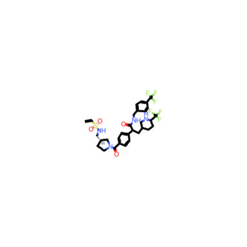 C=CS(=O)(=O)NC[C@H]1CCN(C(=O)c2ccc(C(CC3CCC(C(F)(F)F)NC3)C(=O)NCc3ccc(C(F)(F)F)cc3)cc2)C1